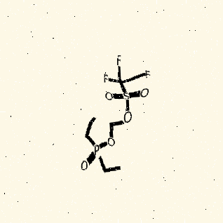 CCP(=O)(CC)OCOS(=O)(=O)C(F)(F)F